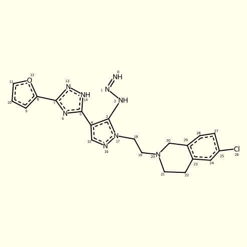 N=NNc1c(-c2nc(-c3ccco3)n[nH]2)cnn1CCN1CCc2cc(Cl)ccc2C1